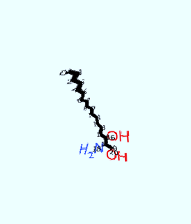 CCCCCCC/C=C/C=C/CC/C=C/[C@@H](O)[C@@H](N)CO